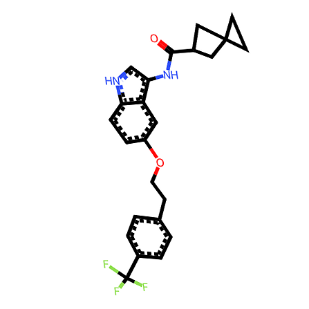 O=C(Nc1c[nH]c2ccc(OCCc3ccc(C(F)(F)F)cc3)cc12)C1CC2(CC2)C1